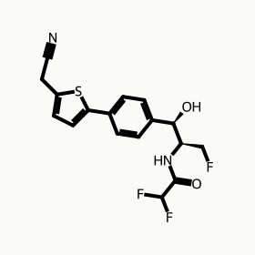 N#CCc1ccc(-c2ccc([C@@H](O)[C@@H](CF)NC(=O)C(F)F)cc2)s1